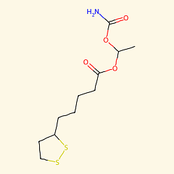 CC(OC(N)=O)OC(=O)CCCCC1CCSS1